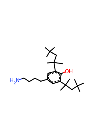 CC(C)(C)CC(C)(C)c1cc(CCCCN)cc(C(C)(C)CC(C)(C)C)c1O